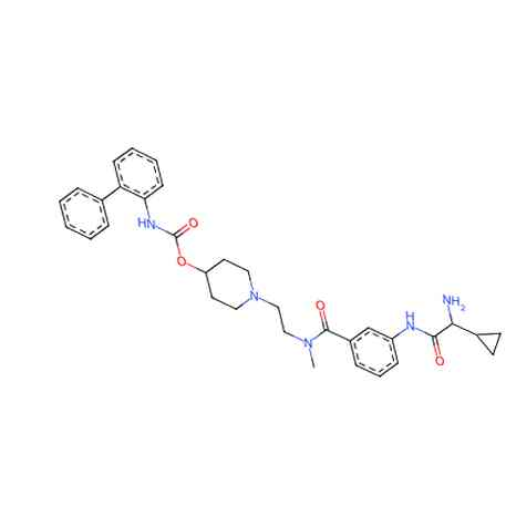 CN(CCN1CCC(OC(=O)Nc2ccccc2-c2ccccc2)CC1)C(=O)c1cccc(NC(=O)C(N)C2CC2)c1